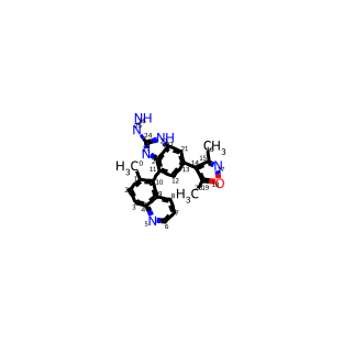 Cc1ccc2ncccc2c1-c1cc(-c2c(C)noc2C)cc2[nH]c(N=N)nc12